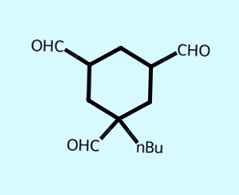 CCCCC1(C=O)CC(C=O)CC(C=O)C1